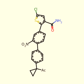 CC(=O)C1(c2ccc(-c3ccc(-c4sc(Cl)cc4C(N)=O)cc3[N+](=O)[O-])cc2)CC1